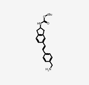 CC(C)(C)OC(=O)NC1Cc2ccc(/C=C/c3ccc(CN)cc3)cc2C1